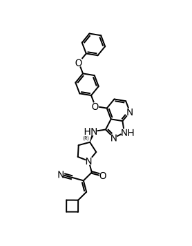 N#CC(=CC1CCC1)C(=O)N1CC[C@@H](Nc2n[nH]c3nccc(Oc4ccc(Oc5ccccc5)cc4)c23)C1